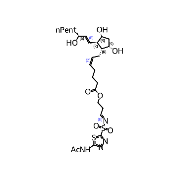 CCCCC[C@H](O)/C=C/[C@@H]1[C@@H](C/C=C\CCCC(=O)OCC/C=N/S(=O)(=O)c2nnc(NC(C)=O)s2)[C@@H](O)C[C@H]1O